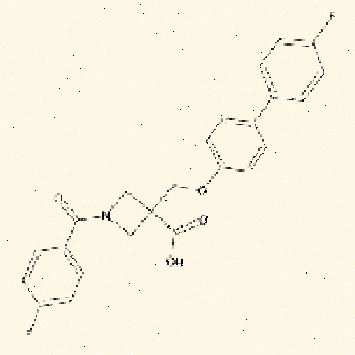 O=C(c1ccc(F)cc1)N1CC(COc2ccc(-c3ccc(F)cc3)cc2)(C(=O)O)C1